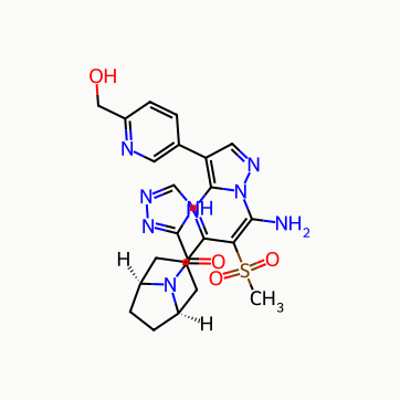 CS(=O)(=O)c1c(C2C[C@H]3CC[C@@H](C2)N3C(=O)c2nnc[nH]2)nc2c(-c3ccc(CO)nc3)cnn2c1N